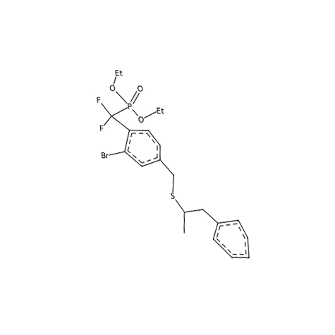 CCOP(=O)(OCC)C(F)(F)c1ccc(CSC(C)Cc2ccccc2)cc1Br